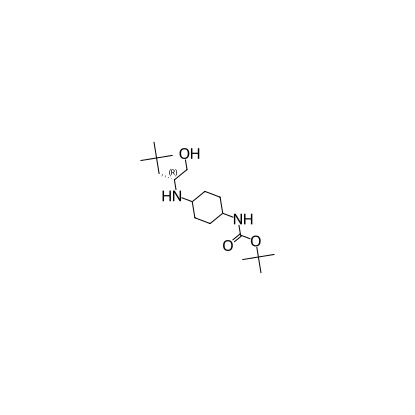 CC(C)(C)C[C@H](CO)NC1CCC(NC(=O)OC(C)(C)C)CC1